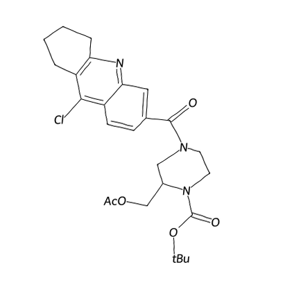 CC(=O)OCC1CN(C(=O)c2ccc3c(Cl)c4c(nc3c2)CCCC4)CCN1C(=O)OC(C)(C)C